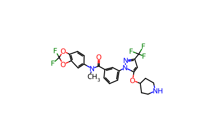 CN(C(=O)c1cccc(-n2nc(C(F)(F)F)cc2OC2CCNCC2)c1)c1ccc2c(c1)OC(F)(F)O2